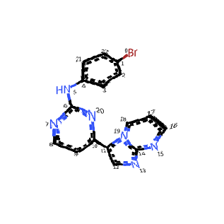 Brc1ccc(Nc2nccc(-c3cnc4ncccn34)n2)cc1